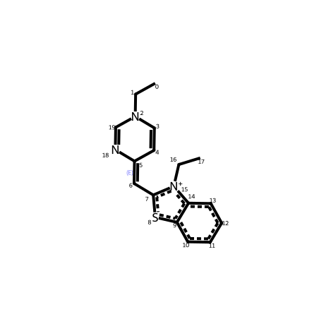 CCN1C=C/C(=C\c2sc3ccccc3[n+]2CC)N=C1